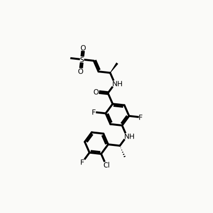 C[C@H](/C=C/S(C)(=O)=O)NC(=O)c1cc(F)c(N[C@H](C)c2cccc(F)c2Cl)cc1F